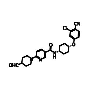 N#Cc1ccc(O[C@H]2CC[C@@H](NC(=O)c3ccc(N4CCC(C=O)CC4)nc3)CC2)cc1Cl